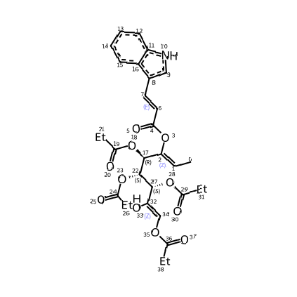 C/C=C(\OC(=O)/C=C/c1c[nH]c2ccccc12)[C@H](OC(=O)CC)[C@@H](OC(=O)CC)[C@H](OC(=O)CC)/C(O)=C/OC(=O)CC